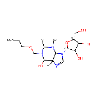 COCCOCN1C(C(C)=O)N(C(C)=O)C2N([C@@H]3O[C@H](CO)C(O)C3O)C=NC2(C(C)=O)C1O